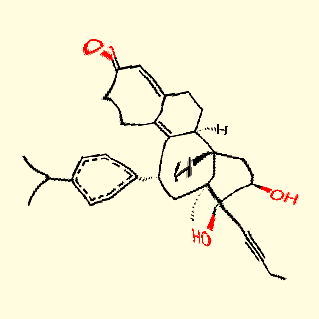 CC#C[C@@]1(O)[C@H](O)C[C@H]2[C@@H]3CCC4=CC(=O)CCC4=C3[C@@H](c3ccc(C(C)C)cc3)C[C@@]21C